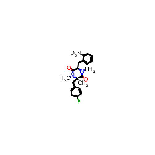 CN1C(=O)C(C)(Cc2ccc(F)cc2)N(C)C(=O)C1Cc1ccccc1[N+](=O)[O-]